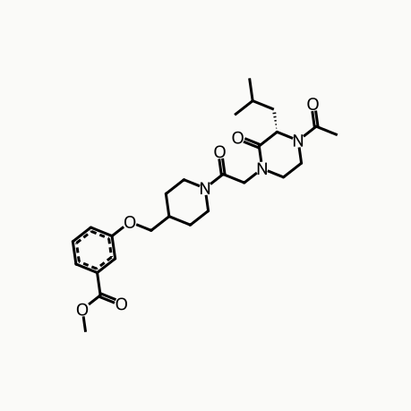 COC(=O)c1cccc(OCC2CCN(C(=O)CN3CCN(C(C)=O)[C@@H](CC(C)C)C3=O)CC2)c1